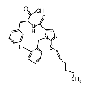 CCCC/C=C/Sc1ncc(C(=O)N[C@@H](Cc2ccccc2)C(=O)O)n1Cc1ccccc1Cl